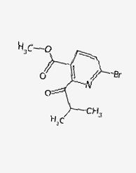 COC(=O)c1ccc(Br)nc1C(=O)C(C)C